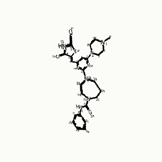 CN1CCN(c2cc(/C=C3\SC(=O)NC3=O)nc(N3CCCN(C(=O)Nc4ccccc4)CC3)n2)CC1